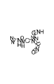 O=C(NCc1cncnc1)Nc1ccc(-c2nc(-c3ccc(CN4CCOCC4)s3)nc(C3CNCCO3)n2)cc1